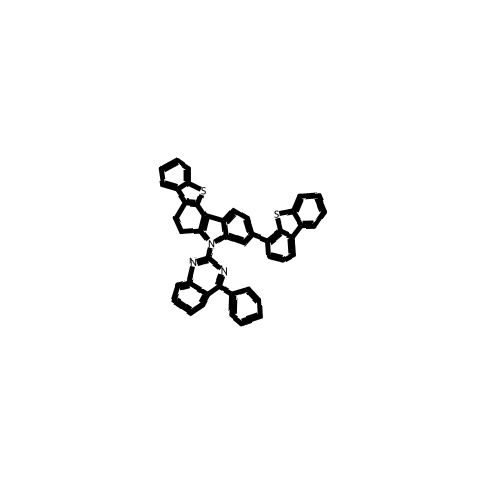 c1ccc(-c2nc(-n3c4c(c5ccc(-c6cccc7c6sc6ccccc67)cc53)-c3sc5ccccc5c3CC4)nc3ccccc23)cc1